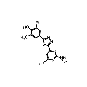 CCc1cc(-c2nnc(-c3cc(C)nc(NC(C)C)n3)s2)cc(C)c1O